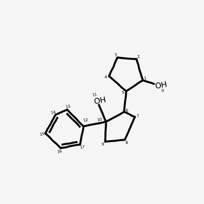 OC1CCCC1C1CCCC1(O)c1ccccc1